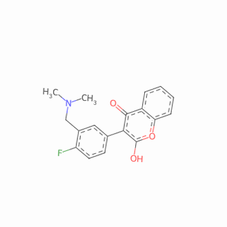 CN(C)Cc1cc(-c2c(O)oc3ccccc3c2=O)ccc1F